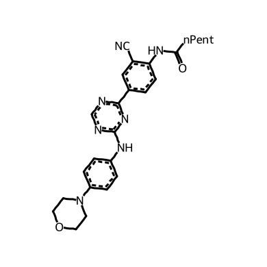 CCCCCC(=O)Nc1ccc(-c2ncnc(Nc3ccc(N4CCOCC4)cc3)n2)cc1C#N